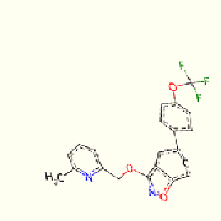 Cc1cccc(COc2noc3ccc(-c4ccc(OC(F)(F)F)cc4)cc23)n1